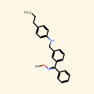 CC(C)ON=C(c1ccccc1)c1cccc(CNc2ccc(CCC(=O)O)cc2)c1